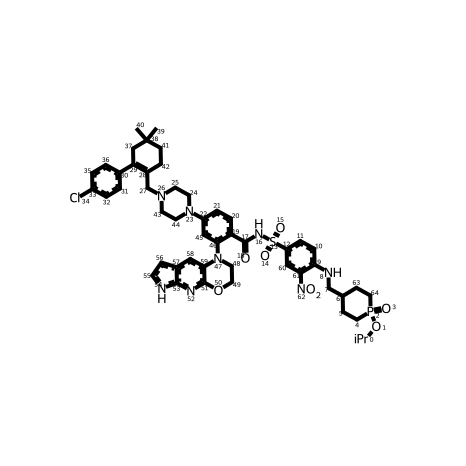 CC(C)OP1(=O)CCC(CNc2ccc(S(=O)(=O)NC(=O)c3ccc(N4CCN(CC5=C(c6ccc(Cl)cc6)CC(C)(C)CC5)CC4)cc3N3CCOc4nc5[nH]ccc5cc43)cc2[N+](=O)[O-])CC1